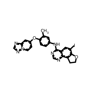 Cc1cc(Nc2ncnc3c4c(c(I)cc23)OCC4)ccc1Oc1ccn2ncnc2c1